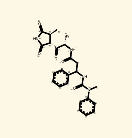 CC(C)[C@H](NC(=O)CC(NC(=O)N(C)c1ccccc1)c1ccccc1)C(=O)[C@@H]1C(=O)NC(=O)[C@H]1C